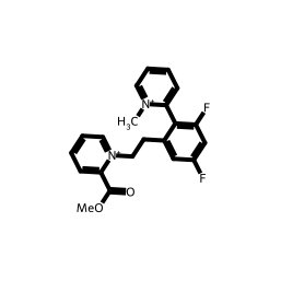 COC(=O)c1cccc[n+]1CCc1cc(F)cc(F)c1-c1cccc[n+]1C